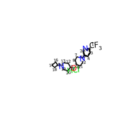 Cl.FC(F)(F)c1ccc(N2CCC(OC3CCN(C4CCC4)CC3)CC2)cn1